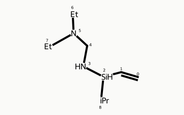 C=C[SiH](NCN(CC)CC)C(C)C